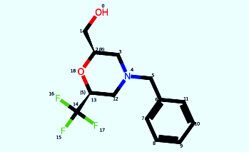 OC[C@H]1CN(Cc2ccccc2)C[C@@H](C(F)(F)F)O1